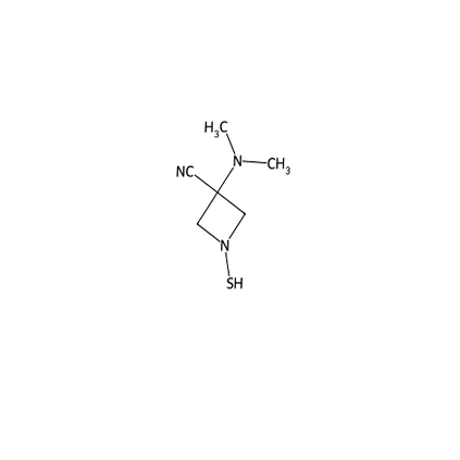 CN(C)C1(C#N)CN(S)C1